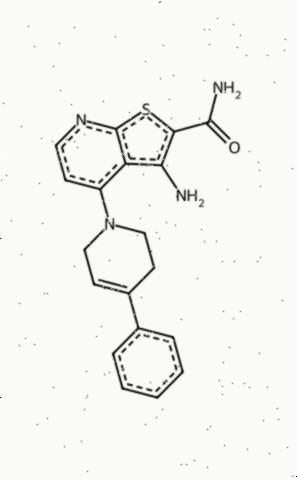 NC(=O)c1sc2nccc(N3CC=C(c4ccccc4)CC3)c2c1N